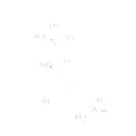 CN(CC(CC1CCCCC1)NC(=O)c1cc(Br)cc(CC[Si](C)(C)C)c1)C(=O)O